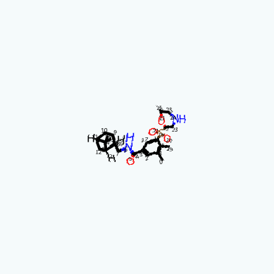 Cc1cc(C(=O)NC[C@@H]2CC[C@H]3C[C@@H]2C3(C)C)cc(S(=O)(=O)C2CNCCO2)c1C